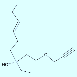 C#CCOCC[C@@](O)(CC)CC/C=C/CC